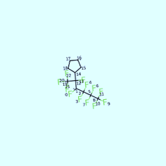 F[C](C(F)(F)C(F)(F)C(F)(F)F)C(F)(C1C[CH]CC1)C(F)(F)F